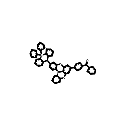 O=C(c1ccccc1)c1ccc(-c2cc3c4c(c2)Sc2cc(C5c6ccccc6[Si](c6ccccc6)(c6ccccc6)c6ccccc65)ccc2B4c2ccccc2S3)cc1